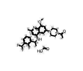 COc1cc(N2CCN(C(C)=O)CC2)cc2c(NC(C)c3cccc(C(F)F)c3F)cc(C)nc12.O=CO